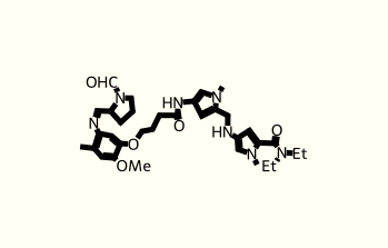 CCN(CC)C(=O)c1cc(NCc2cc(NC(=O)CCCOc3cc(/N=C\C4CCCN4C=O)c(C)cc3OC)cn2C)cn1C